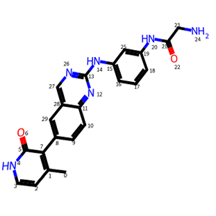 Cc1cc[nH]c(=O)c1-c1ccc2nc(Nc3cccc(NC(=O)CN)c3)ncc2c1